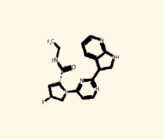 O=C(NCC(F)(F)F)[C@H]1C[C@H](F)CN1c1ccnc(C2CNc3ncccc32)n1